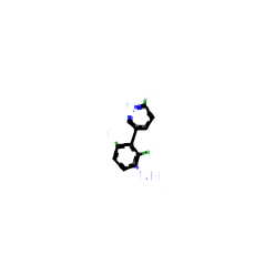 Nc1ccc(F)c(-c2ccc(Br)nc2)c1F